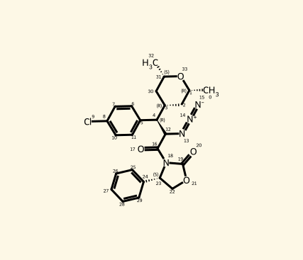 C[C@@H]1C[C@H]([C@H](c2ccc(Cl)cc2)C(N=[N+]=[N-])C(=O)N2C(=O)OC[C@@H]2c2ccccc2)C[C@H](C)O1